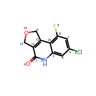 O=c1[nH]c2cc(Cl)cc(F)c2c2c1COC2